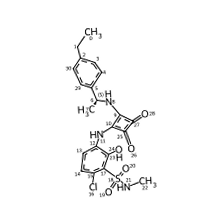 CCc1ccc([C@H](C)Nc2c(Nc3ccc(Cl)c(S(=O)(=O)NC)c3O)c(=O)c2=O)cc1